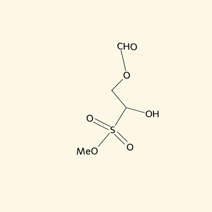 COS(=O)(=O)C(O)COC=O